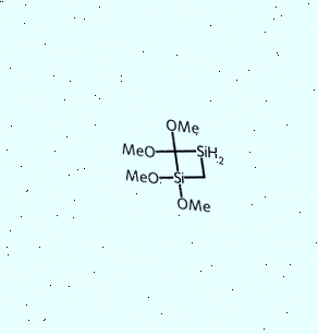 COC1(OC)[SiH2]C[Si]1(OC)OC